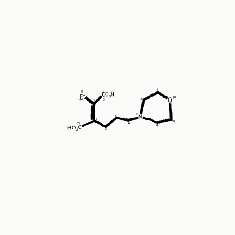 CCC(C(=O)O)=C(CCCN1CCOCC1)C(=O)O